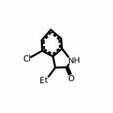 CCC1C(=O)Nc2cccc(Cl)c21